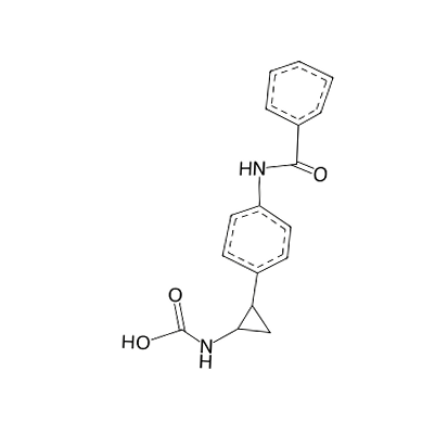 O=C(O)NC1CC1c1ccc(NC(=O)c2ccccc2)cc1